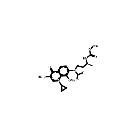 CCC1C[C@@H]([C@H](C)NC(=O)OC(C)(C)C)CN1c1ccc2c(=O)c(C(=O)O)cn(C3CC3)c2c1OC